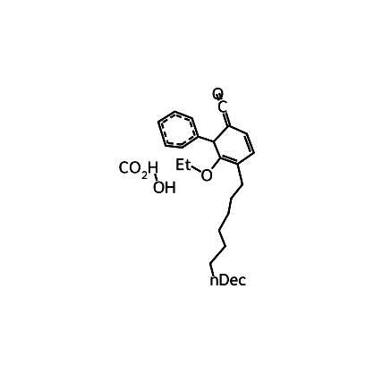 CCCCCCCCCCCCCCCCC1=C(OCC)C(c2ccccc2)C(=C=O)C=C1.O=C(O)O